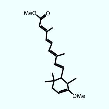 COC(=O)/C=C(C)/C=C/C=C(C)/C=C/C1C(C)C(OC)=CCC1(C)C